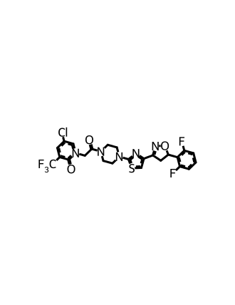 O=C(Cn1cc(Cl)cc(C(F)(F)F)c1=O)N1CCN(c2nc(C3=NOC(c4c(F)cccc4F)C3)cs2)CC1